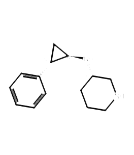 c1ccc([C@@H]2C[C@H]2N[C@H]2CCCNC2)cc1